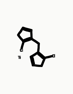 ClC1=C(CC2=C(Cl)CC=C2)C=CC1.[Ti]